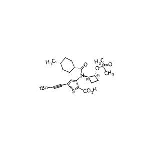 CC(C)(C)C#Cc1cc(N(C(=O)[C@H]2CC[C@@H](C)CC2)[C@@H]2CC[C@H]2OP(C)(C)=O)c(C(=O)O)s1